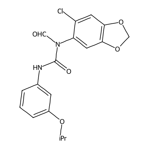 CC(C)Oc1cccc(NC(=O)N(C=O)c2cc3c(cc2Cl)OCO3)c1